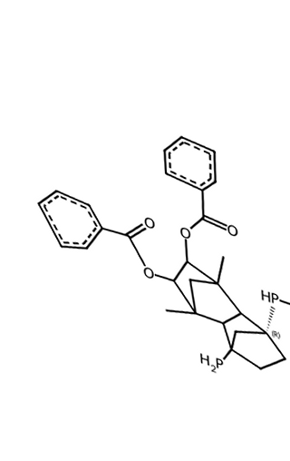 CP[C@]12CCC(P)(C1)C1C2C2(C)CC1(C)C(OC(=O)c1ccccc1)C2OC(=O)c1ccccc1